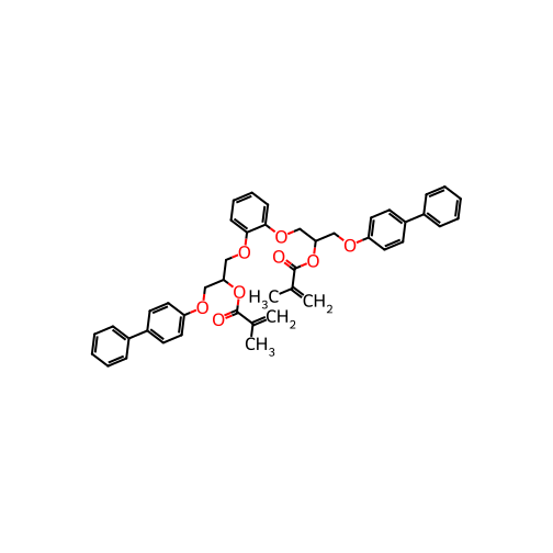 C=C(C)C(=O)OC(COc1ccc(-c2ccccc2)cc1)COc1ccccc1OCC(COc1ccc(-c2ccccc2)cc1)OC(=O)C(=C)C